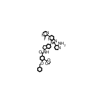 Nc1ncccc1-c1nc2ccc(-c3nccnc3F)nc2n1-c1ccc2c(c1)CC[C@@H]2NC(=O)c1ccc(OCc2ccccc2)c(C2OCCO2)c1